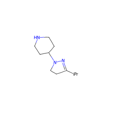 CC(C)C1=NN(C2CCNCC2)CC1